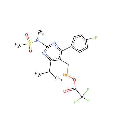 CC(C)c1nc(N(C)S(C)(=O)=O)nc(-c2ccc(F)cc2)c1CPOC(=O)C(F)(F)F